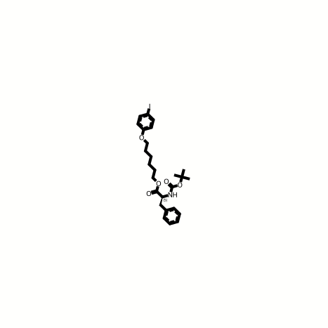 CC(C)(C)OC(=O)N[C@@H](Cc1ccccc1)C(=O)OCCCCCCOc1ccc(I)cc1